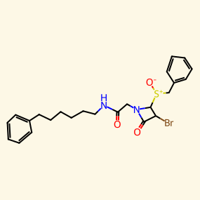 O=C(CN1C(=O)C(Br)C1[S+]([O-])Cc1ccccc1)NCCCCCCc1ccccc1